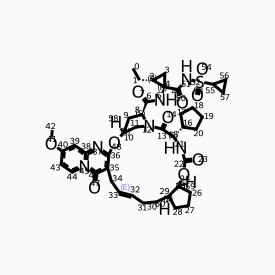 CC[C@@H]1C[C@]1(NC(=O)[C@@H]1C[C@@H]2CN1C(=O)[C@H](C1CCCC1)NC(=O)O[C@@H]1CCC[C@H]1CC/C=C/Cc1c(nc3cc(OC)ccn3c1=O)O2)C(=O)NS(=O)(=O)C1CC1